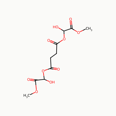 COC(=O)C(O)OC(=O)CCC(=O)OC(O)C(=O)OC